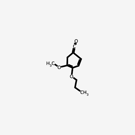 CCCOC1=C(OC)CC(=C=O)C=C1